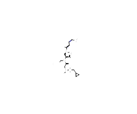 C=N/C=C\C=C(/C)n1cc(N(CC)C(=O)CN(C)S(=O)(=O)CC2CC2)c(Cl)n1